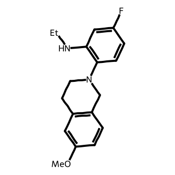 CCNc1cc(F)ccc1N1CCc2cc(OC)ccc2C1